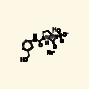 O=C(Nc1cccc(CO)c1)N1CC[C@@H]2[C@H]1C(=O)N2S(=O)(=O)[O-].[Na+]